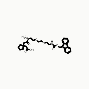 CN(CCOCCOCCNC(=O)OCC1c2ccccc2-c2ccccc21)C(=O)CC1(CC(=O)O)CCCC1